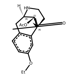 CCOc1ccc2c(c1)[C@]13CCN[C@H](C2)[C@]1(OC(C)=O)CCC(=O)C3